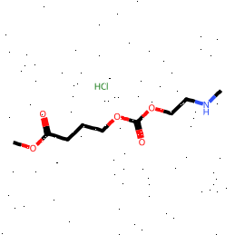 CNCCOC(=O)OCCCC(=O)OC.Cl